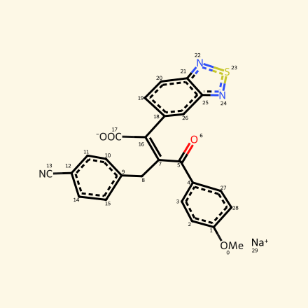 COc1ccc(C(=O)C(Cc2ccc(C#N)cc2)=C(C(=O)[O-])c2ccc3nsnc3c2)cc1.[Na+]